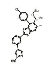 CC(=O)[C@@H](OC(C)(C)C)c1c(C)cc2nc(-c3ccnc(-c4cnn(C(C)(C)C)c4)c3)sc2c1-c1ccc(Cl)cc1